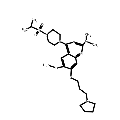 COc1cc2c(N3CCN(S(=O)(=O)C(C)C)CC3)nc(N(C)C)nc2cc1OCCCN1CCCC1